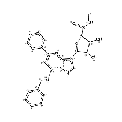 CNC(=O)C1OC(n2cnc3c(NCc4ccccc4)nc(-c4ccncc4)nc32)C(O)C1O